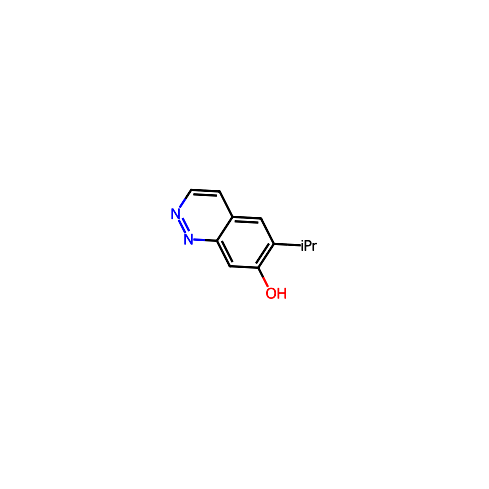 CC(C)c1cc2ccnnc2cc1O